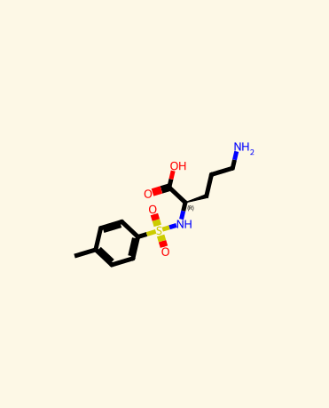 Cc1ccc(S(=O)(=O)N[C@H](CCCN)C(=O)O)cc1